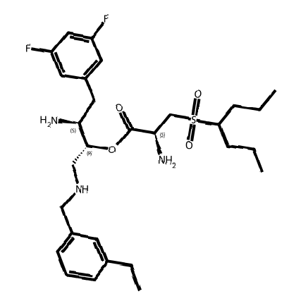 CCCC(CCC)S(=O)(=O)C[C@@H](N)C(=O)O[C@H](CNCc1cccc(CC)c1)[C@@H](N)Cc1cc(F)cc(F)c1